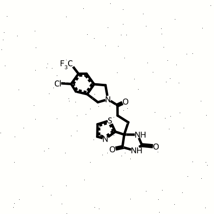 O=C1NC(=O)C(CCC(=O)N2Cc3cc(Cl)c(C(F)(F)F)cc3C2)(c2nccs2)N1